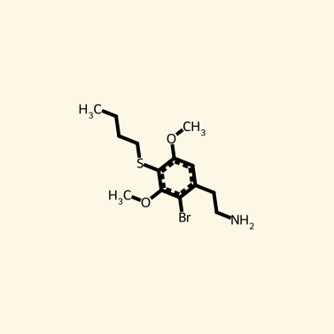 CCCCSc1c(OC)cc(CCN)c(Br)c1OC